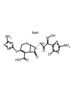 Nc1nnc(SC2=C(C(=O)O)N3C(=O)[C@@H](NC(=O)C(=NO)c4nc(N)sc4Cl)C3SC2)s1.[NaH]